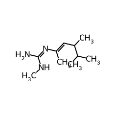 CN/C(N)=N\C(C)=C\C(C)C(C)C